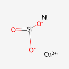 O=[Si]([O-])[O-].[Cu+2].[Ni]